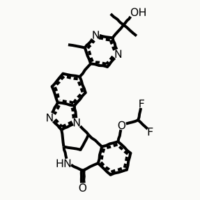 Cc1nc(C(C)(C)O)ncc1-c1ccc2nc3n(c2c1)C1CC3NC(=O)c2cccc(OC(F)F)c21